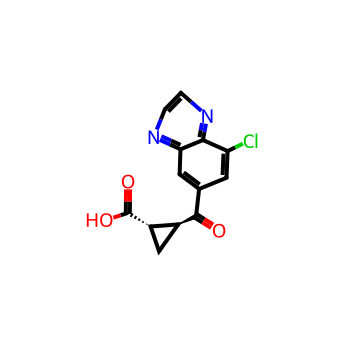 O=C(O)[C@H]1C[C@@H]1C(=O)c1cc(Cl)c2nccnc2c1